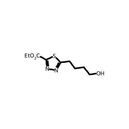 CCOC(=O)c1nnc(CCCCO)s1